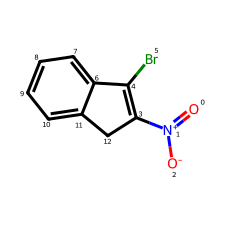 O=[N+]([O-])C1=C(Br)c2ccccc2C1